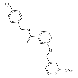 COc1cccc(COc2cccc(C(=O)NCc3ccc(C(F)(F)F)cc3)c2)c1